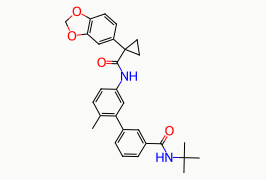 Cc1ccc(NC(=O)C2(c3ccc4c(c3)OCO4)CC2)cc1-c1cccc(C(=O)NC(C)(C)C)c1